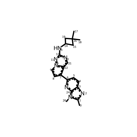 Cc1nc2ccc(-c3ccn4nc(NC5CC(C)(C)C5)ncc34)nc2n1C